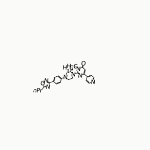 CCCc1nc(-c2ccc(N3CCN(c4nc(-c5ccncc5)cc(=O)n4C)[C@H](C)C3)cc2)no1